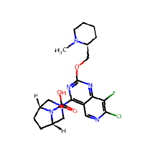 CN1CCCC[C@H]1COc1nc(N2C[C@H]3CC[C@@H](C2)N3C(=O)O)c2cnc(Cl)c(F)c2n1